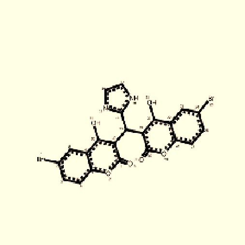 O=c1oc2ccc(Br)cc2c(O)c1C(c1ncc[nH]1)c1c(O)c2cc(Br)ccc2oc1=O